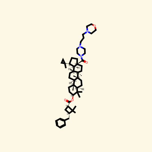 CC1([C@@H]2CC[C@]3(C(=O)N4CCN(CCCN5CCOCC5)CC4)CC[C@]4(C)[C@H](CC[C@@H]5[C@@]6(C)CC[C@H](OC(=O)[C@H]7C[C@@H](Cc8ccccc8)C7(C)C)C(C)(C)[C@@H]6CC[C@]54C)[C@@H]23)CC1